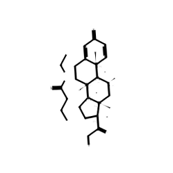 CCCC(=O)OCC.C[C@]12C=CC(=O)C=C1CC[C@@H]1[C@@H]2[C@@H](O)C[C@@]2(C)[C@H]1CC[C@]2(O)C(=O)CO